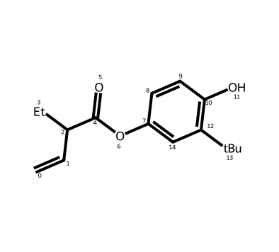 C=CC(CC)C(=O)Oc1ccc(O)c(C(C)(C)C)c1